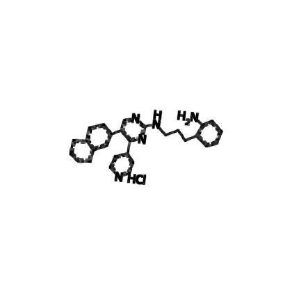 Cl.Nc1ccccc1CCCNc1ncc(-c2ccc3ccccc3c2)c(-c2ccncc2)n1